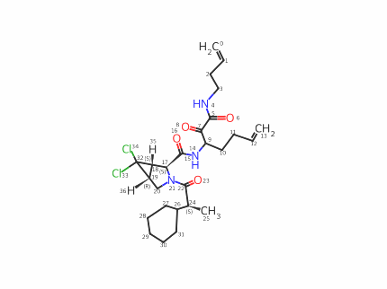 C=CCCNC(=O)C(=O)C(CCC=C)NC(=O)[C@@H]1[C@@H]2[C@H](CN1C(=O)[C@@H](C)C1CCCCC1)C2(Cl)Cl